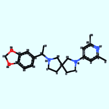 Cc1cc(N2CCC3(CCN(C(C)c4ccc5c(c4)OCO5)C3)C2)cc(C)n1